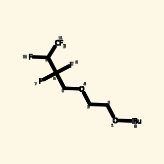 CCC(C)OCCOCC(F)(F)C(F)C(F)(F)F